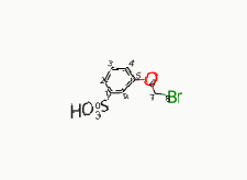 O=S(=O)(O)c1cccc(OCBr)c1